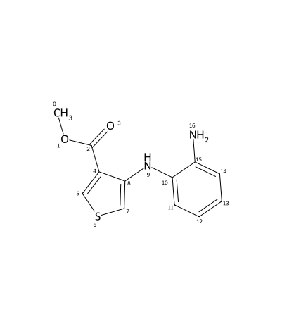 COC(=O)c1cscc1Nc1ccccc1N